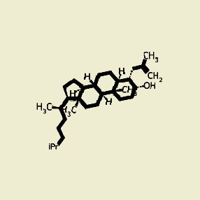 C=C(C)C[C@@H]1[C@H](O)CC[C@@]2(C)[C@H]1CC[C@@H]1[C@@H]2CC[C@]2(C)[C@@H]([C@H](C)CCCC(C)C)CC[C@@H]12